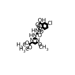 COc1cc(C(OC)OC)nc(NC(=O)NS(=O)(=O)c2ccc(Cl)cc2C(=O)O)n1